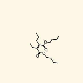 CCCCOC(=O)C(CC)=C(CCC)C(=O)OCCCC